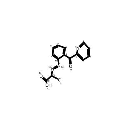 O=C(c1ccccn1)c1ccccc1/N=N/C(Cl)C(=O)O